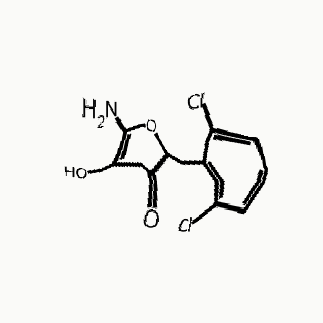 NC1=C(O)C(=O)C(c2c(Cl)cccc2Cl)O1